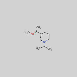 COC(C)C1CCCN(C(C)C)C1